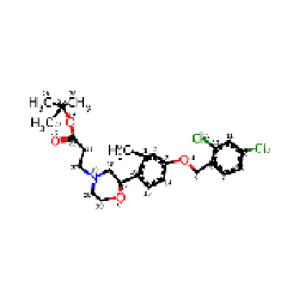 Cc1cc(OCc2ccc(Cl)cc2Cl)ccc1C1CN(CCC(=O)OC(C)(C)C)CCO1